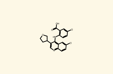 O=C(O)c1cc(Cl)ccc1Nc1c(C2CCOC2)cnc2ccc(Cl)cc12